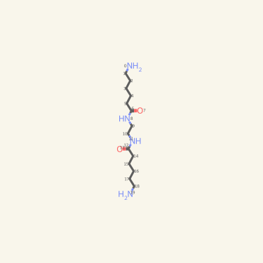 NCCCCCC(=O)NCCNC(=O)CCCCCN